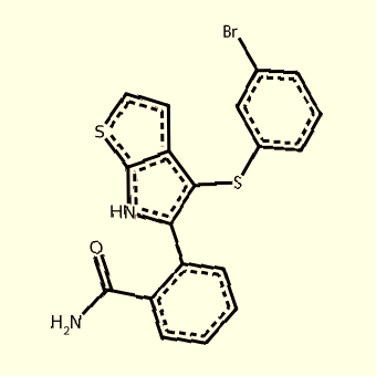 NC(=O)c1ccccc1-c1[nH]c2sccc2c1Sc1cccc(Br)c1